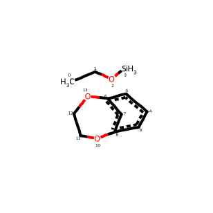 CCO[SiH3].c1cc2cc(c1)OCCO2